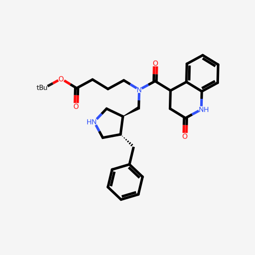 CC(C)(C)OC(=O)CCCN(C[C@@H]1CNC[C@H]1Cc1ccccc1)C(=O)C1CC(=O)Nc2ccccc21